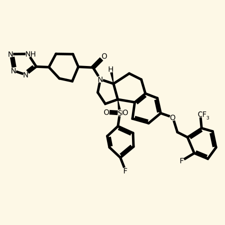 O=C(C1CCC(c2nnn[nH]2)CC1)N1CC[C@@]2(S(=O)(=O)c3ccc(F)cc3)c3ccc(OCc4c(F)cccc4C(F)(F)F)cc3CC[C@@H]12